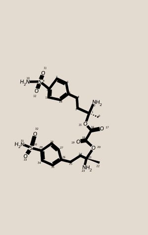 C[C@@](N)(CCc1ccc(S(N)(=O)=O)cc1)OC(=O)C(=O)O[C@](C)(N)CCc1ccc(S(N)(=O)=O)cc1